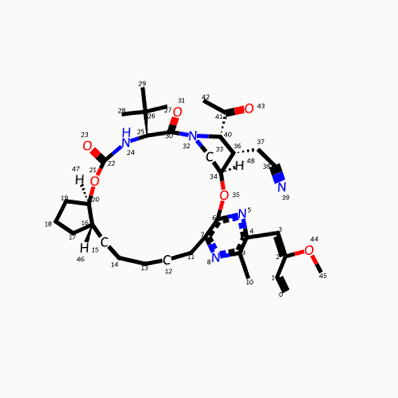 C=C/C(=C\c1nc2c(nc1C)CCCCC[C@@H]1CCC[C@H]1OC(=O)N[C@@H](C(C)(C)C)C(=O)N1C[C@H](O2)[C@@H](CC#N)[C@H]1C(C)=O)OC